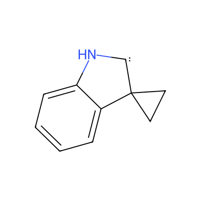 [C]1Nc2ccccc2C12CC2